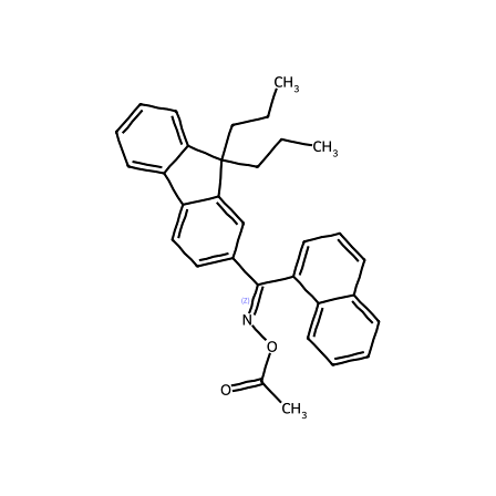 CCCC1(CCC)c2ccccc2-c2ccc(/C(=N/OC(C)=O)c3cccc4ccccc34)cc21